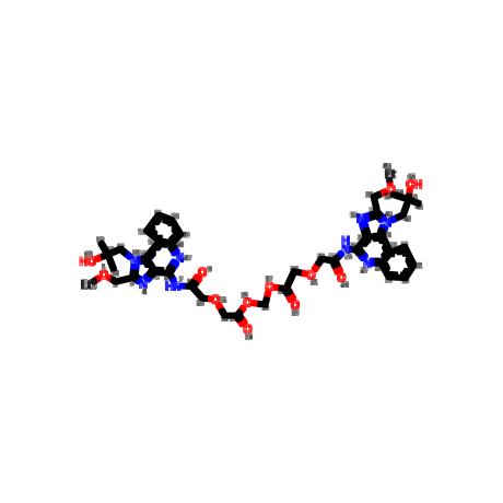 CCOCc1nc2c(NC(=O)COCC(=O)OCOC(=O)COCC(=O)Nc3nc4ccccc4c4c3nc(COCC)n4CC(C)(C)O)nc3ccccc3c2n1CC(C)(C)O